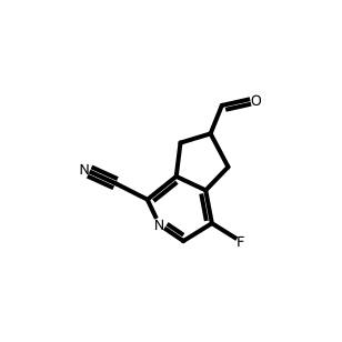 N#Cc1ncc(F)c2c1CC(C=O)C2